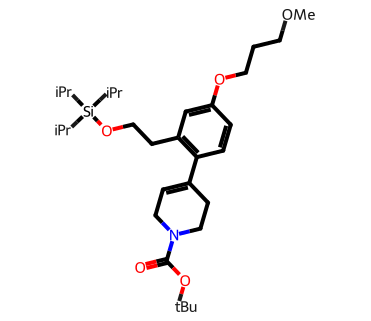 COCCCOc1ccc(C2=CCN(C(=O)OC(C)(C)C)CC2)c(CCO[Si](C(C)C)(C(C)C)C(C)C)c1